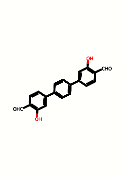 O=Cc1ccc(-c2ccc(-c3ccc(C=O)c(O)c3)cc2)cc1O